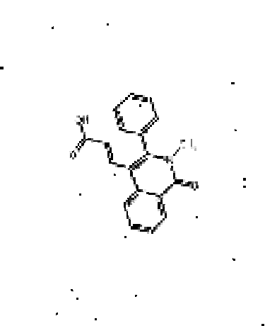 Cn1c(-c2ccccc2)c(C=CC(=O)O)c2ccccc2c1=O